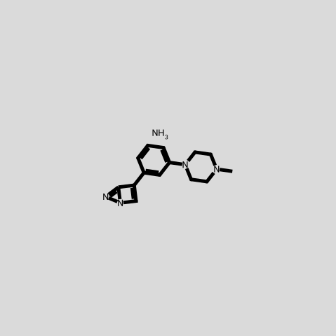 CN1CCN(c2cccc(-c3cn4nc3-4)c2)CC1.N